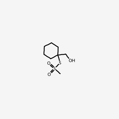 CS(=O)(=O)SC1(CO)CCCCC1